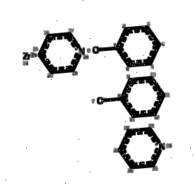 [O-]c1ccccc1.[O-]c1ccccc1.[Zr+2].c1ccncc1.c1ccncc1